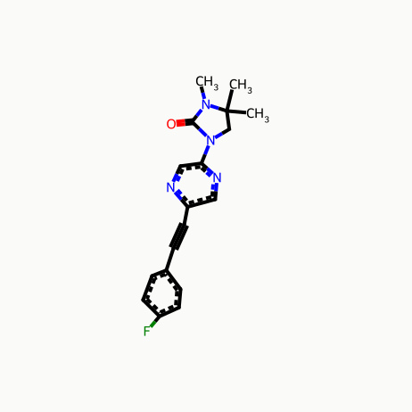 CN1C(=O)N(c2cnc(C#Cc3ccc(F)cc3)cn2)CC1(C)C